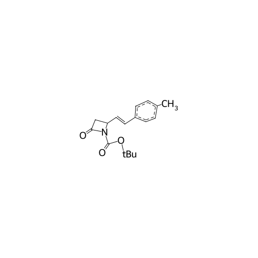 Cc1ccc(C=CC2CC(=O)N2C(=O)OC(C)(C)C)cc1